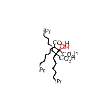 CC(C)CCCCCC(C(=O)O)C(O)(C(=O)O)C(CCCCCC(C)C)(CCCCCC(C)C)C(=O)O